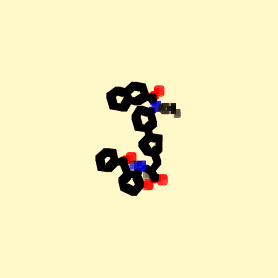 CN(C(=O)c1ccc2ccccc2c1)c1cccc(-c2ccc(C[C@H](Nc3ccccc3C(=O)c3ccccc3)C(=O)O)cc2)c1